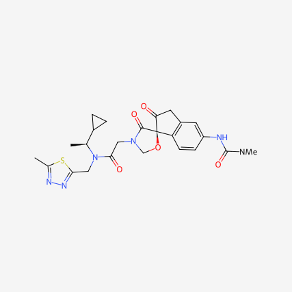 CNC(=O)Nc1ccc2c(c1)CC(=O)[C@]21OCN(CC(=O)N(Cc2nnc(C)s2)[C@@H](C)C2CC2)C1=O